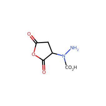 NN(C(=O)O)C1CC(=O)OC1=O